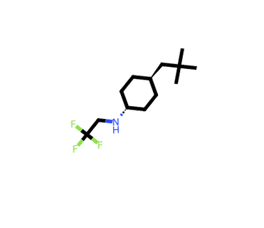 CC(C)(C)C[C@H]1CC[C@H](NCC(F)(F)F)CC1